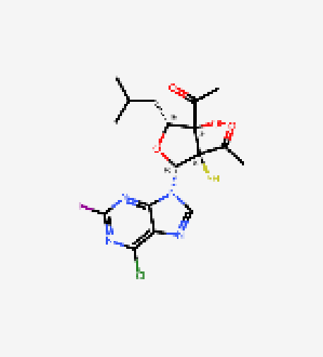 CC(=O)[C@@]1(O)[C@@H](CC(C)C)O[C@@H](n2cnc3c(Cl)nc(I)nc32)[C@@]1(S)C(C)=O